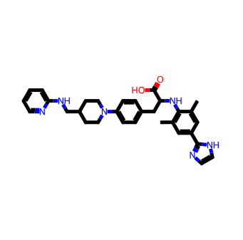 Cc1cc(-c2ncc[nH]2)cc(C)c1NC(Cc1ccc(N2CCC(CNc3ccccn3)CC2)cc1)C(=O)O